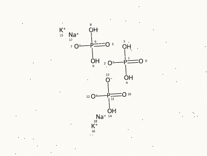 O=P([O-])(O)O.O=P([O-])(O)O.O=P([O-])([O-])O.[K+].[K+].[Na+].[Na+]